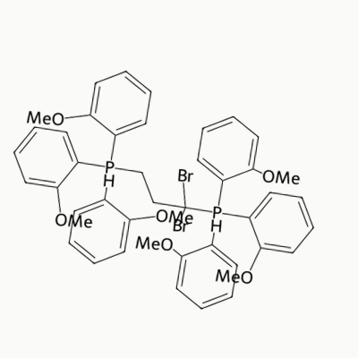 COc1ccccc1[PH](CCC(Br)(Br)[PH](c1ccccc1OC)(c1ccccc1OC)c1ccccc1OC)(c1ccccc1OC)c1ccccc1OC